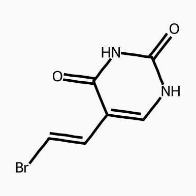 O=c1[nH]cc(C=CBr)c(=O)[nH]1